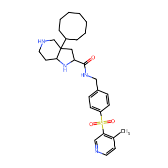 Cc1ccncc1S(=O)(=O)c1ccc(CNC(=O)C2CC3(C4CCCCCCC4)CNCCC3N2)cc1